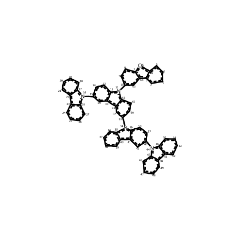 c1ccc2c(c1)oc1ccc(-n3c4ccc(-n5c6ccccc6c6ccccc65)cc4c4cc(-n5c6ccccc6c6cc(-n7c8ccccc8c8ccccc87)ccc65)ccc43)cc12